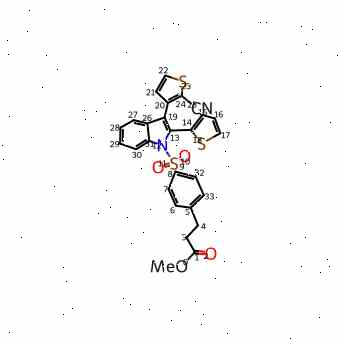 COC(=O)CCc1ccc(S(=O)(=O)n2c(-c3cccs3)c(-c3ccsc3C#N)c3ccccc32)cc1